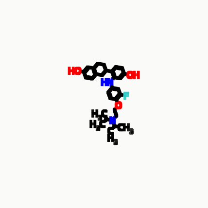 CC(C)N(CCOc1ccc(Nc2cc(O)ccc2C2CCc3cc(O)ccc3C2)cc1F)C(C)C